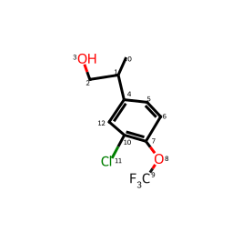 [CH2]C(CO)c1ccc(OC(F)(F)F)c(Cl)c1